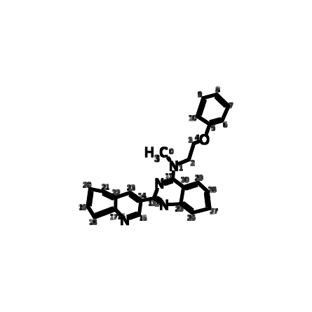 CN(CCOc1ccccc1)c1nc(-c2cnc3ccccc3c2)nc2ccccc12